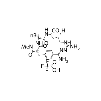 CCCC[C@H](NC(=O)[C@H](Cc1ccc(C(=N)N)cc1)C(=O)NC)C(=O)NC(CCCNC(=N)N)C(=O)O.O=C(O)C(F)(F)F